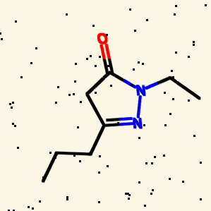 CCCC1=NN(CC)C(=O)C1